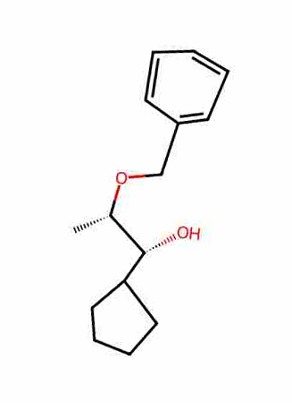 C[C@H](OCc1ccccc1)[C@H](O)C1CCCC1